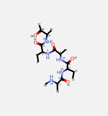 CCC(NC(=O)C(C)NC(=O)C(CC)NC(=O)C(C)NC)C(=O)NC(C)C(C)=O